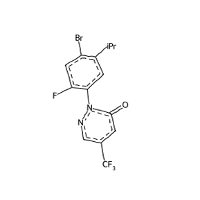 CC(C)c1cc(-n2ncc(C(F)(F)F)cc2=O)c(F)cc1Br